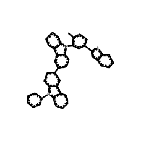 Cc1ccc(-c2cc3ccccc3s2)cc1-n1c2ccccc2c2cc(-c3ccc4c(c3)c3ccccc3n4-c3ccccc3)ccc21